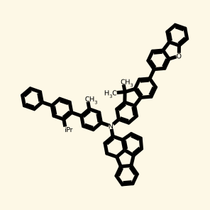 Cc1cc(N(C2=CCC3c4ccccc4-c4cccc2c43)c2ccc3c(c2)C(C)(C)c2cc(-c4ccc5c(c4)oc4ccccc45)ccc2-3)ccc1-c1ccc(-c2ccccc2)cc1C(C)C